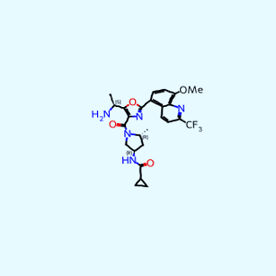 COc1ccc(-c2nc(C(=O)N3C[C@H](NC(=O)C4CC4)C[C@H]3C)c([C@H](C)N)o2)c2ccc(C(F)(F)F)nc12